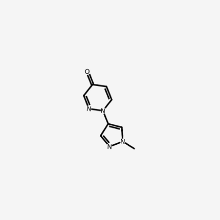 Cn1cc(-n2ccc(=O)cn2)cn1